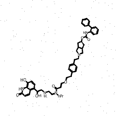 CCCN(CCNCC(O)c1ccc(O)c2[nH]c(=O)ccc12)C(=O)CCOCCc1ccc(CCN2CC3CC(OC(=O)Nc4ccccc4-c4ccccc4)CC3C2)cc1